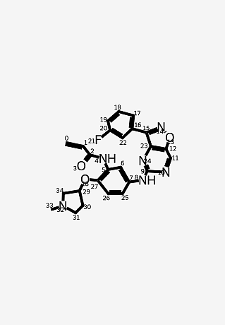 C=CC(=O)Nc1cc(Nc2ncc3onc(-c4cccc(F)c4)c3n2)ccc1OC1CCN(C)C1